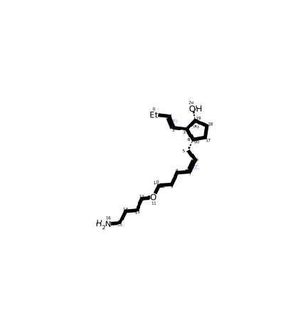 CC/C=C/C1[C@@H](C/C=C\CCCOCCCCN)CC[C@H]1O